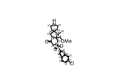 COCC12CN(S(=O)(=O)c3cc4ccc(Cl)cc4s3)CC(=O)N1CC1(CCNCC1)N2C